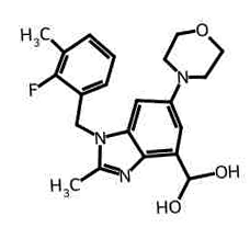 Cc1cccc(Cn2c(C)nc3c(C(O)O)cc(N4CCOCC4)cc32)c1F